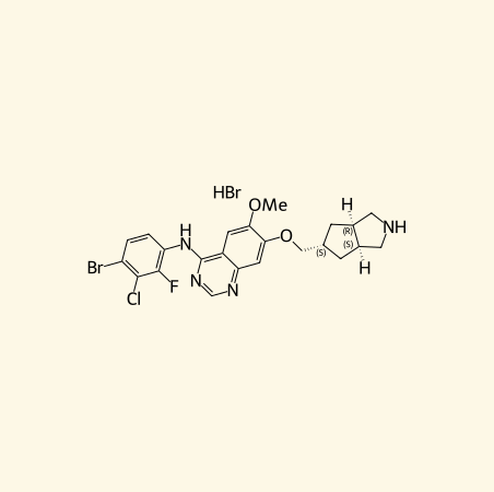 Br.COc1cc2c(Nc3ccc(Br)c(Cl)c3F)ncnc2cc1OC[C@@H]1C[C@H]2CNC[C@H]2C1